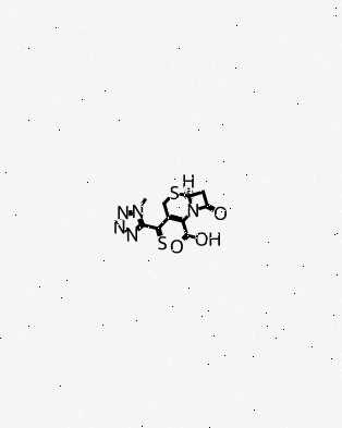 Cn1nnnc1C(=S)C1=C(C(=O)O)N2C(=O)C[C@@H]2SC1